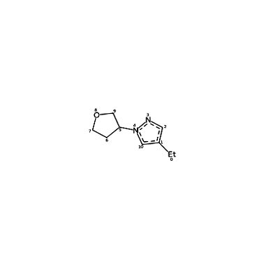 CCc1cnn(C2CCOC2)c1